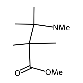 CNC(C)(C)C(C)(C)C(=O)OC